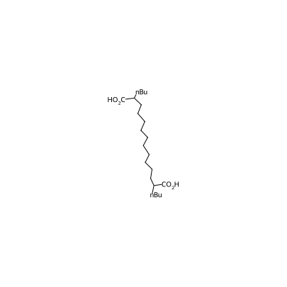 CCCCC(CCCCCCCCCCC(CCCC)C(=O)O)C(=O)O